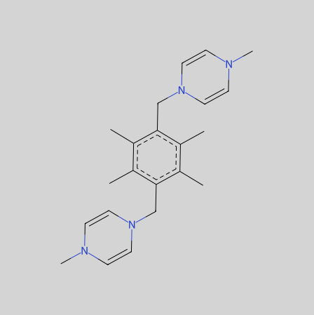 Cc1c(C)c(CN2C=CN(C)C=C2)c(C)c(C)c1CN1C=CN(C)C=C1